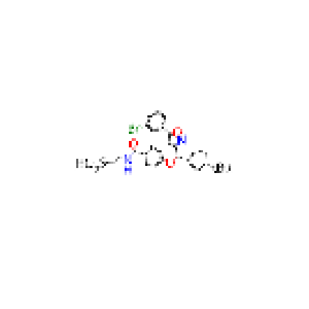 CC(C)(C)C1C=CC(C(Oc2ccc(C(=O)NCCS(=O)(=O)O)cc2)c2cc(-c3cccc(Br)c3)on2)=CC1